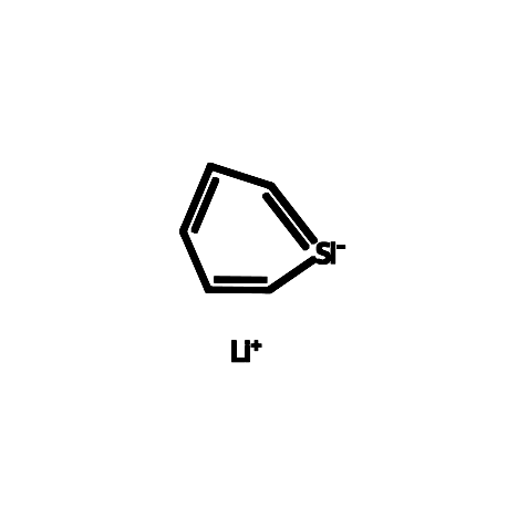 [Li+].c1cc[si-]cc1